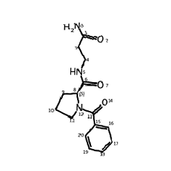 NC(=O)CCNC(=O)[C@@H]1CCCN1C(=O)c1ccccc1